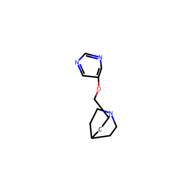 c1ncc(OCC2CC3CCN2CC3)cn1